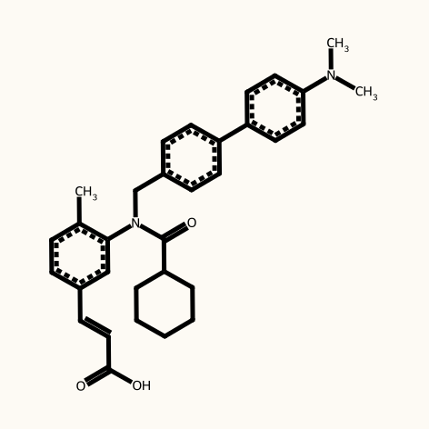 Cc1ccc(C=CC(=O)O)cc1N(Cc1ccc(-c2ccc(N(C)C)cc2)cc1)C(=O)C1CCCCC1